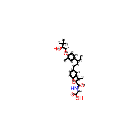 CCC(CCc1ccc2oc(C(=O)NCC(=O)O)c(C)c2c1)c1ccc(OCC(O)C(C)(C)C)c(C)c1